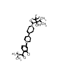 CC(C)[C@](O)(C(=O)N1CCC(C2CCN(c3ccc(C(=O)N(C)C)c(Cl)c3)CC2)CC1)C(F)(F)F